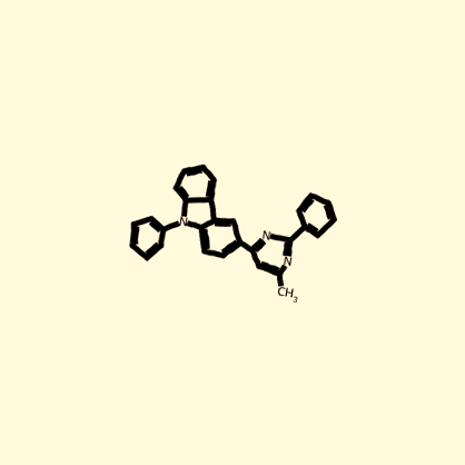 Cc1cc(-c2ccc3c(c2)c2ccccc2n3-c2ccccc2)nc(-c2ccccc2)n1